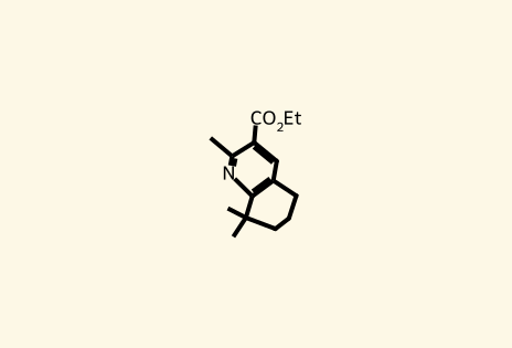 CCOC(=O)c1cc2c(nc1C)C(C)(C)CCC2